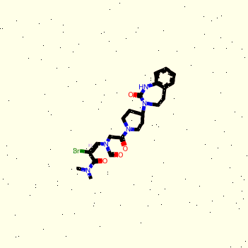 CN(C)C(=O)/C(Br)=C\N(C=O)CC(=O)N1CCC(N2CCc3ccccc3NC2=O)CC1